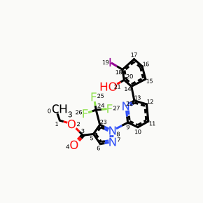 CCOC(=O)c1cnn(-c2cccc(-c3cccc(I)c3O)n2)c1C(F)(F)F